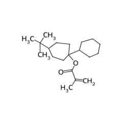 C=C(C)C(=O)OC1(C2CCCCC2)CCC(C(C)(C)C)CC1